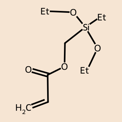 C=CC(=O)OC[Si](CC)(OCC)OCC